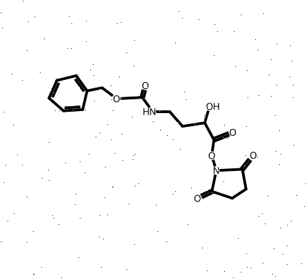 O=C(NCCC(O)C(=O)ON1C(=O)CCC1=O)OCc1ccccc1